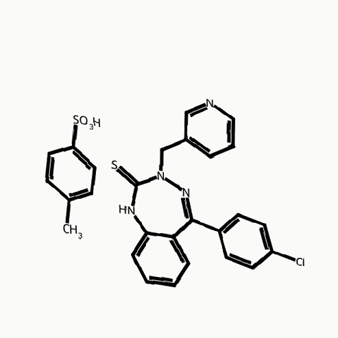 Cc1ccc(S(=O)(=O)O)cc1.S=C1Nc2ccccc2C(c2ccc(Cl)cc2)=NN1Cc1cccnc1